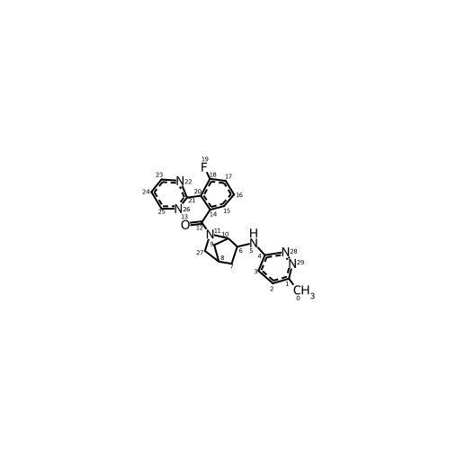 Cc1ccc(NC2CC3CC2N(C(=O)c2cccc(F)c2-c2ncccn2)C3)nn1